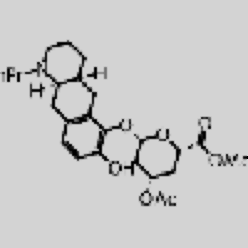 CCCN1CCC[C@@H]2Cc3c(ccc(O)c3O[C@H]3C[C@@H](OC(C)=O)C[C@@H](C(=O)OC)O3)C[C@H]21